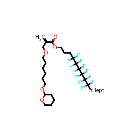 C=C(COCCCCCCOC1CCCCO1)C(=O)OCCCC(F)(F)C(F)(F)C(F)(F)C(F)(F)C(F)(F)C(F)(F)CCCCCCC